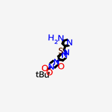 CC(C)(C)OC(=O)N1CCN(C2=CCN3N=C(c4cncc(N)c4)SC3=C2)C(=O)C1